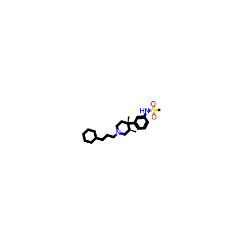 C[C@H]1CN(CCCC2CCCCC2)CC[C@]1(C)c1cccc(NS(C)(=O)=O)c1